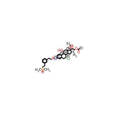 CCC(=O)OCC(=O)[C@@]1(OC(=O)CC)[C@H](C)C[C@H]2[C@H]3[C@H]([C@@H](O)C[C@@]21C)[C@@]1(C)C=C/C(=N\OCCc2cccc(CCP(C)(C)=O)c2)C=C1C[C@H]3Cl